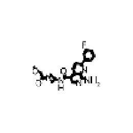 COCC(=O)N1CC(NC(=O)c2cnc(N)c3nc(-c4cccc(F)c4)ccc23)C1